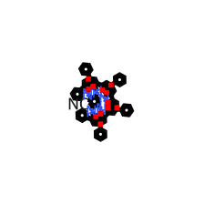 N#Cc1c(-n2c3ccccc3c3ccccc32)c(-n2c3ccc(-c4ccccc4)cc3c3cc(-c4ccccc4)ccc32)c(N2c3ccccc3C3C=CC=CC32)c(-n2c3ccc(-c4ccccc4)cc3c3cc(-c4ccccc4)ccc32)c1-n1c2ccccc2c2ccccc21